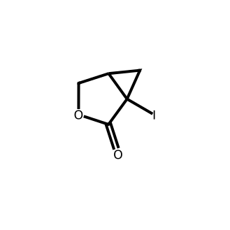 O=C1OCC2CC12I